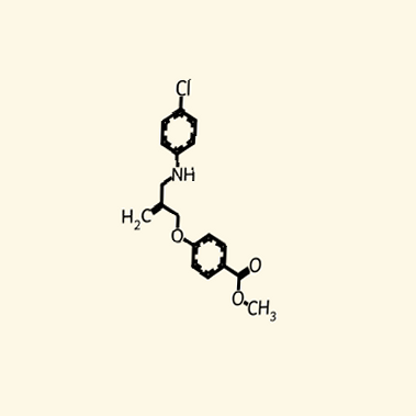 C=C(CNc1ccc(Cl)cc1)COc1ccc(C(=O)OC)cc1